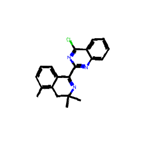 Cc1cccc2c1CC(C)(C)N=C2c1nc(Cl)c2ccccc2n1